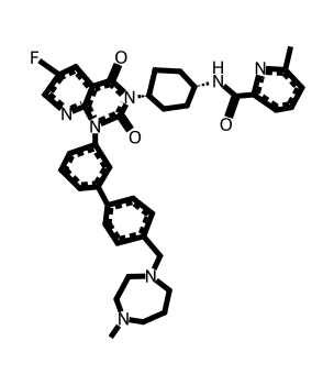 Cc1cccc(C(=O)N[C@H]2CC[C@@H](n3c(=O)c4cc(F)cnc4n(-c4cccc(-c5ccc(CN6CCCN(C)CC6)cc5)c4)c3=O)CC2)n1